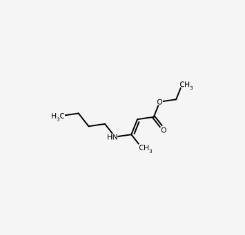 CCCCNC(C)=CC(=O)OCC